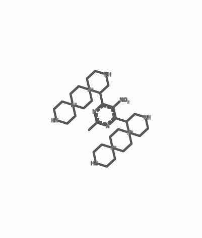 Cc1nc(C2CNCC[N+]23CC[N+]2(CCNCC2)CC3)c([N+](=O)[O-])c(C2CNCC[N+]23CC[N+]2(CCNCC2)CC3)n1